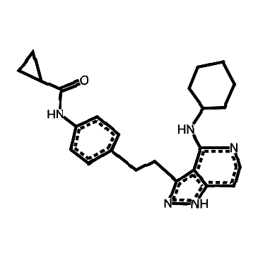 O=C(Nc1ccc(CCc2n[nH]c3ccnc(NC4CCCCC4)c23)cc1)C1CC1